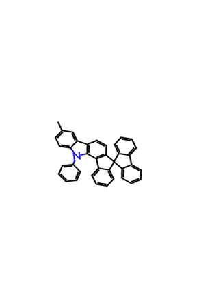 Cc1ccc2c(c1)c1ccc3c(c1n2-c1ccccc1)-c1ccccc1C31c2ccccc2-c2ccccc21